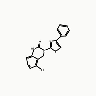 O=C1Nc2cccc(Cl)c2CN1c1nc(-c2ccncc2)cs1